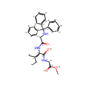 CC/C(C)=C(/NC(=O)CNC(c1ccccc1)(c1ccccc1)c1ccccc1)C(=O)NCC(=O)OC